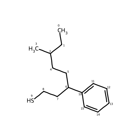 CCC(C)CCC(CCS)c1ccccc1